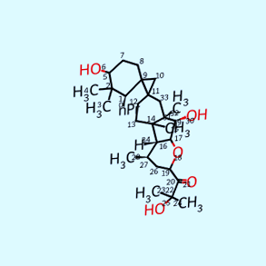 CCC[C@H]1C(C)(C)C(O)CCC12CC21CCC2(C)[C@@H]3C(OC(C(=O)C(C)(C)O)C[C@H]3C)[C@H](O)[C@@]2(C)C1